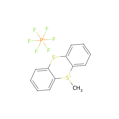 C[S+]1c2ccccc2Sc2ccccc21.F[P-](F)(F)(F)(F)F